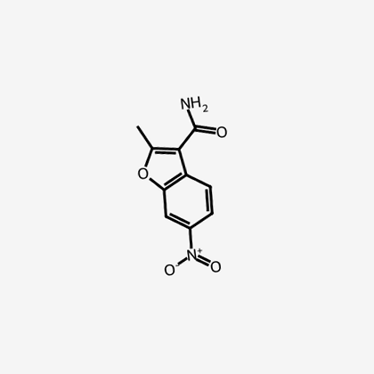 Cc1oc2cc([N+](=O)[O-])ccc2c1C(N)=O